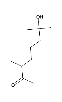 CC(=O)C(C)CCCC(C)(C)O